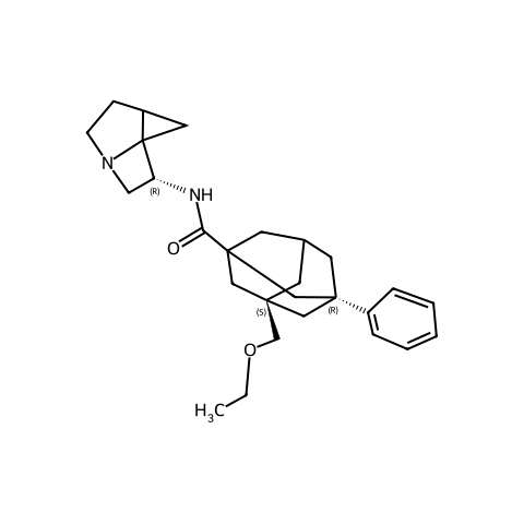 CCOC[C@]12CC3CC(C(=O)N[C@@H]4CN5CCC6CC645)(C1)C[C@@](c1ccccc1)(C3)C2